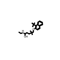 CCNC(O)CCC(C)(C)COc1ccc2ccccc2c1C(C)(C)C